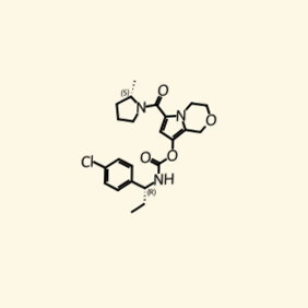 CC[C@@H](NC(=O)Oc1cc(C(=O)N2CCC[C@@H]2C)n2c1COCC2)c1ccc(Cl)cc1